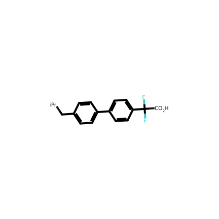 CC(C)Cc1ccc(-c2ccc(C(F)(F)C(=O)O)cc2)cc1